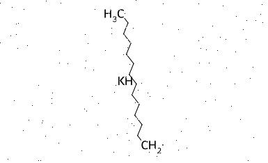 [CH2]CCCCCCCCCCCCC.[KH]